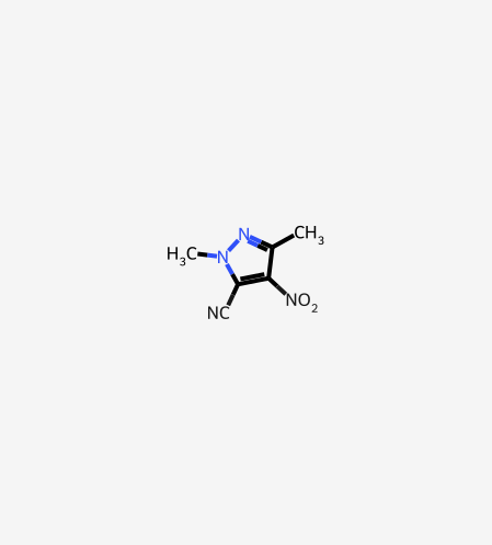 Cc1nn(C)c(C#N)c1[N+](=O)[O-]